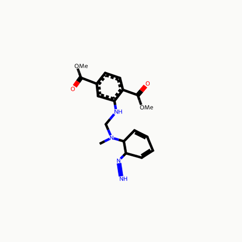 COC(=O)c1ccc(C(=O)OC)c(NCN(C)C2C=CC=CC2N=N)c1